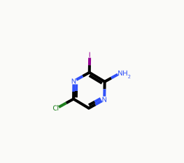 Nc1ncc(Cl)nc1I